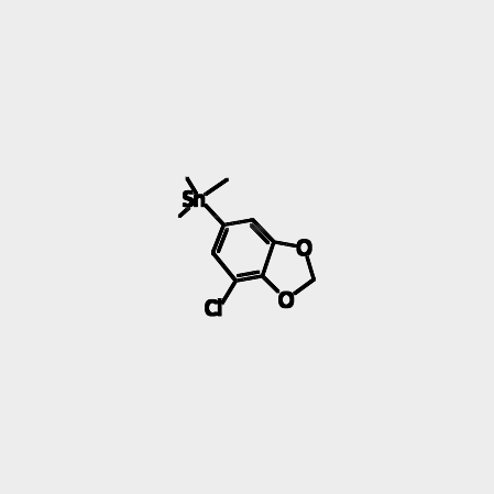 [CH3][Sn]([CH3])([CH3])[c]1cc(Cl)c2c(c1)OCO2